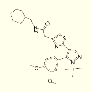 COc1ccc(-c2c(-c3nc(CC(=O)NCC4CCCCC4)cs3)cnn2C(C)(C)C)cc1OC